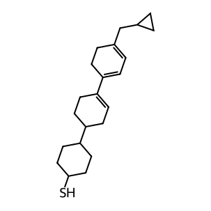 SC1CCC(C2CC=C(C3=CC=C(CC4CC4)CC3)CC2)CC1